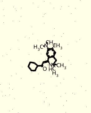 Cc1cc2c(cc1N(C)C)C(=CC(=O)C1CCCCC1)NC(C)(C)C2